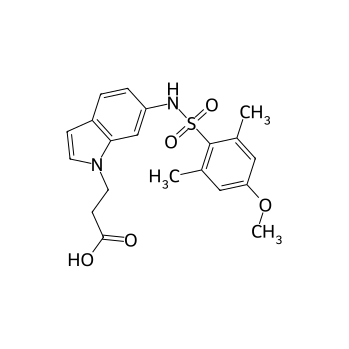 COc1cc(C)c(S(=O)(=O)Nc2ccc3ccn(CCC(=O)O)c3c2)c(C)c1